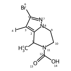 CC1c2c(I)c(Br)nn2CCN1C(=O)O